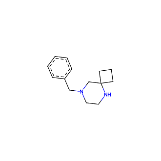 c1ccc(CN2CCNC3(CCC3)C2)cc1